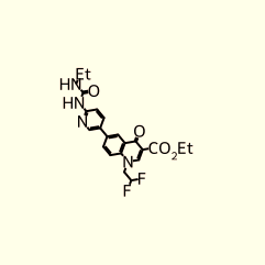 CCNC(=O)Nc1ccc(-c2ccc3c(c2)c(=O)c(C(=O)OCC)cn3CC(F)F)cn1